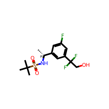 C[C@@H](NS(=O)(=O)C(C)(C)C)c1cc(F)cc(C(F)(F)CO)c1